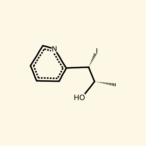 C[C@H](O)[C@@H](I)c1ccccn1